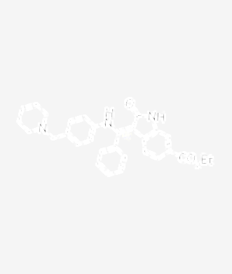 CCOC(=O)c1ccc2c(c1)NC(=O)/C2=C(\Nc1ccc(CN2CC=CCC2)cc1)c1ccccc1